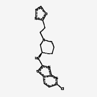 Clc1ccc2oc(N[C@@H]3CCCN(CCc4ncco4)C3)nc2n1